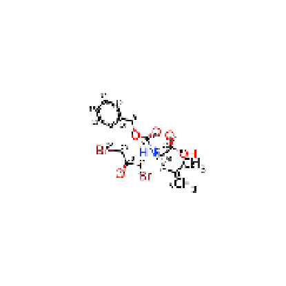 CC(C)C[C@H](NC(=O)OCc1ccccc1)C(=O)O.O=C(CBr)CBr